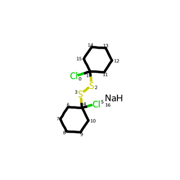 ClC1(SSC2(Cl)CCCCC2)CCCCC1.[NaH]